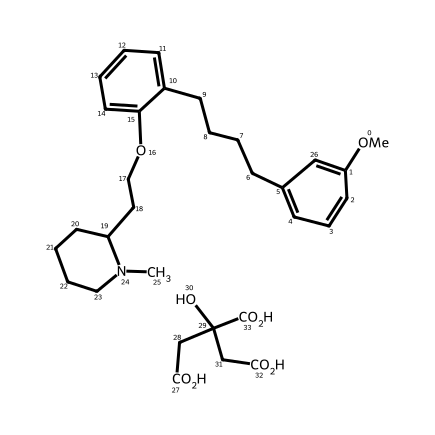 COc1cccc(CCCCc2ccccc2OCCC2CCCCN2C)c1.O=C(O)CC(O)(CC(=O)O)C(=O)O